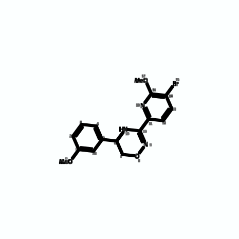 COc1cccc(C2CON=C(c3ccc(Br)c(OC)n3)N2)c1